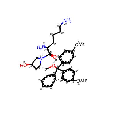 COc1ccc(C(OC[C@@H]2C[C@@H](O)CN2C(=O)[C@@H](N)CCCCN)(c2ccccc2)c2ccc(OC)cc2)cc1